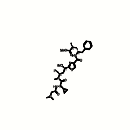 COC(=O)[C@@H](C)C[C@H](Cc1ccccc1)NC(=O)c1csc([C@@H](C[C@H](C(C)C)N(C)C(=O)[C@@H](NC(=O)CN(C)C)C2CC2)OC(C)=O)n1